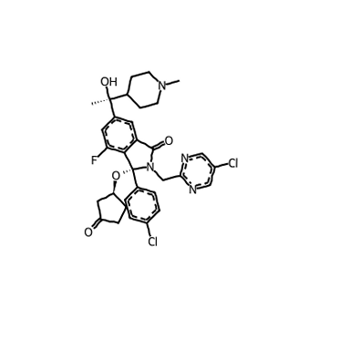 CN1CCC([C@](C)(O)c2cc(F)c3c(c2)C(=O)N(Cc2ncc(Cl)cn2)[C@@]3(O[C@H]2CCC(=O)C2)c2ccc(Cl)cc2)CC1